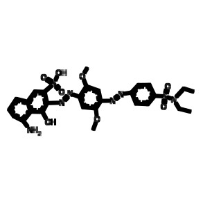 CCN(CC)S(=O)(=O)c1ccc(/N=N/c2cc(OC)c(/N=N/c3c(S(=O)(=O)O)cc4cccc(N)c4c3O)cc2OC)cc1